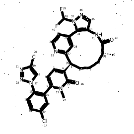 C[C@@H]1CCC[C@@H](c2ccc(-c3cc(Cl)ccc3-n3cc(Cl)nn3)n(C)c2=O)c2cc(ccn2)-c2c(cnn2C(F)F)NC1=O